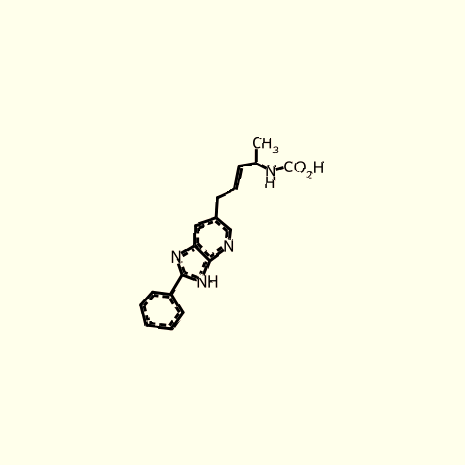 CC(/C=C/Cc1cnc2[nH]c(-c3ccccc3)nc2c1)NC(=O)O